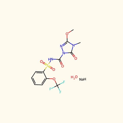 COc1nn(C(=O)NS(=O)(=O)c2ccccc2OC(F)(F)F)c(=O)n1C.O.[NaH]